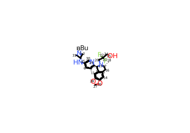 CCCCN1CC(Nc2ccc([C@@H]3c4cc5c(cc4C[C@@H](C)N3CC(F)(F)CO)OCO5)nc2)C1